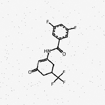 O=C1C=C(NC(=O)c2cc(F)cc(F)c2)CC(C(F)(F)F)C1